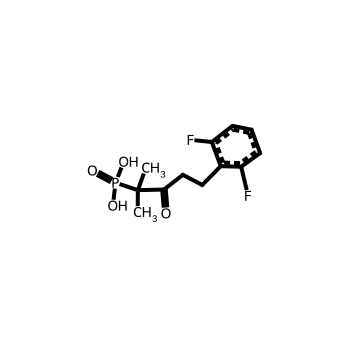 CC(C)(C(=O)CCc1c(F)cccc1F)P(=O)(O)O